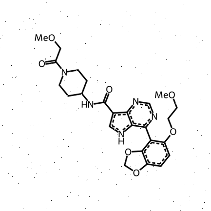 COCCOc1ccc2c(c1-c1ncnc3c(C(=O)NC4CCN(C(=O)COC)CC4)c[nH]c13)OCO2